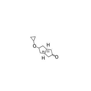 O=C1C[C@@H]2CC(OC3CC3)C[C@@H]2C1